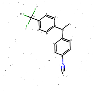 [C-]#[N+]c1ccc(C(C)c2ccc(C(F)(F)F)cc2)cc1